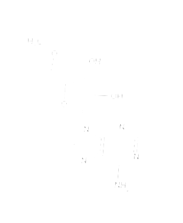 COCC1OC(n2cnc3c(N)ncnc32)C(O)C1O